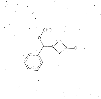 O=COC(c1ccccc1)N1CC(=O)C1